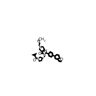 COCCN1CCC2(CC1)N=C(c1ccc(-c3ccc4occc4c3)cc1)N(C[C@@H]1CCN(C(=O)C3CC3)C1)C2=O